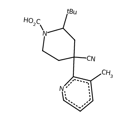 Cc1cccnc1C1(C#N)CCN(C(=O)O)C(C(C)(C)C)C1